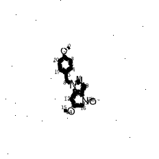 COc1ccc(Cn2ncc3c2cc(OC)c[n+]3[O-])cc1